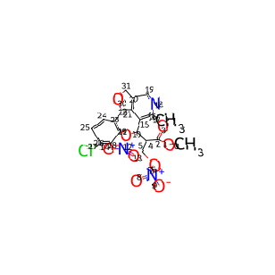 COC(=O)C(CO[N+](=O)[O-])C(O[N+](=O)[O-])c1c(C)ncc2c1C(c1ccc(Cl)cc1)OC2